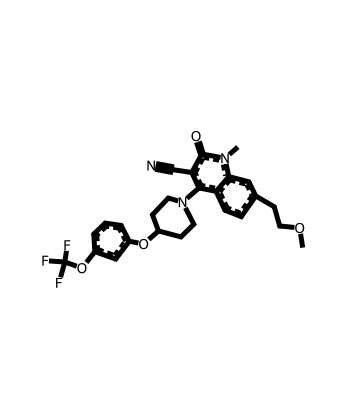 COCCc1ccc2c(N3CCC(Oc4cccc(OC(F)(F)F)c4)CC3)c(C#N)c(=O)n(C)c2c1